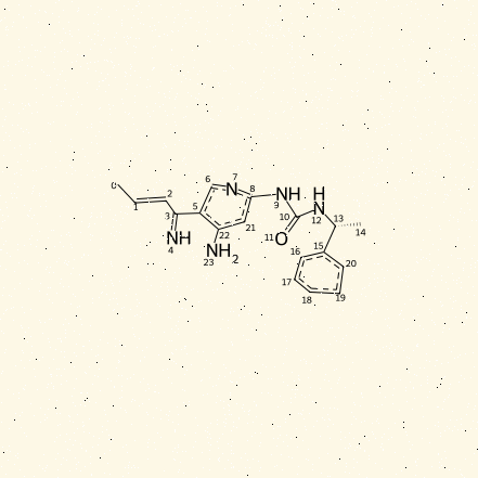 C/C=C/C(=N)c1cnc(NC(=O)N[C@H](C)c2ccccc2)cc1N